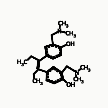 CC/C(=C(\CC)c1ccc(O)c(CN(C)C)c1)c1ccc(O)c(CN(C)C)c1